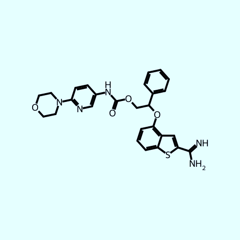 N=C(N)c1cc2c(OC(COC(=O)Nc3ccc(N4CCOCC4)nc3)c3ccccc3)cccc2s1